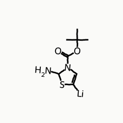 [Li][C]1=CN(C(=O)OC(C)(C)C)C(N)S1